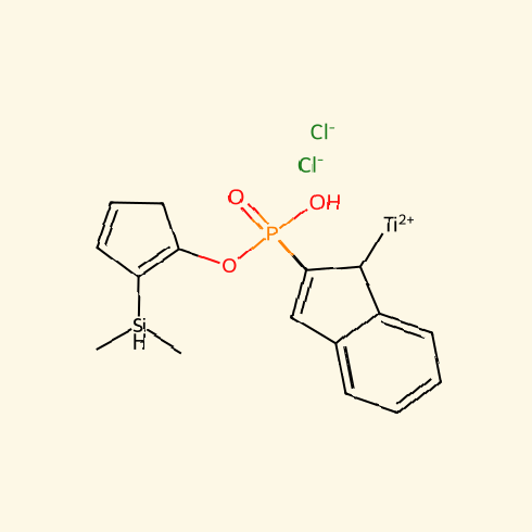 C[SiH](C)C1=C(OP(=O)(O)C2=Cc3ccccc3[CH]2[Ti+2])CC=C1.[Cl-].[Cl-]